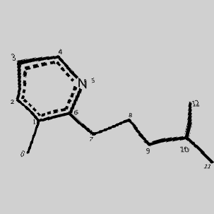 Cc1cccnc1CCCC(C)C